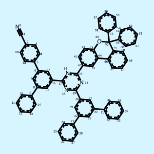 N#Cc1ccc(-c2cc(-c3ccccc3)cc(-c3nc(-c4cc(-c5ccccc5)cc(-c5ccccc5)c4)nc(-c4ccc5c(c4)-c4ccccc4C(c4ccccc4)(c4ccccc4)O5)n3)c2)cc1